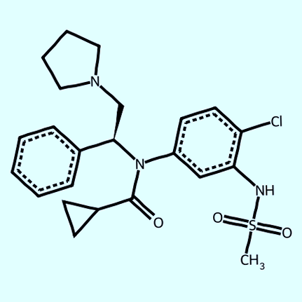 CS(=O)(=O)Nc1cc(N(C(=O)C2CC2)[C@H](CN2CCCC2)c2ccccc2)ccc1Cl